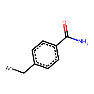 CC(=O)Cc1ccc(C(N)=O)cc1